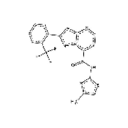 Cc1csc(NC(=O)c2ccnc3cc(-c4ccccc4C(F)(F)F)nn23)n1